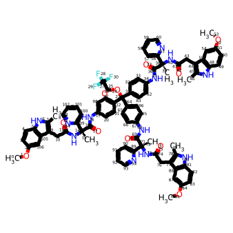 COc1ccc2[nH]c(C)c(CC(=O)N[C@@](C)(C(=O)Nc3ccc(C(OC(=O)C(F)(F)F)(c4ccc(NC(=O)[C@](C)(NC(=O)Cc5c(C)[nH]c6ccc(OC)cc56)c5ccccn5)cc4)c4ccc(NC(=O)[C@](C)(NC(=O)Cc5c(C)[nH]c6ccc(OC)cc56)c5ccccn5)cc4)cc3)c3ccccn3)c2c1